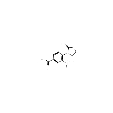 COC(=O)c1ccc(N2CCSC2=N)c([N+](=O)[O-])c1